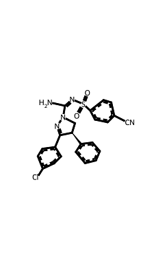 N#Cc1ccc(S(=O)(=O)/N=C(/N)N2C[C@@H](c3ccccc3)C(c3ccc(Cl)cc3)=N2)cc1